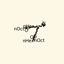 CCCCCCCCC(CCCCCC)C(=O)OCCCCCCN(CCCCCCOC(=O)[C@@H](CCCCCC)CCCCCCCC)CCn1ccnc1